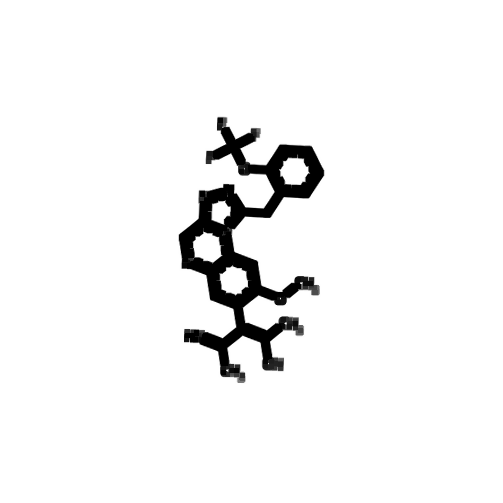 COc1cc2c(cc1/C(C(C)=N)=C(\C)O)ncc1nnc(Cc3ccccc3OC(F)(F)F)n12